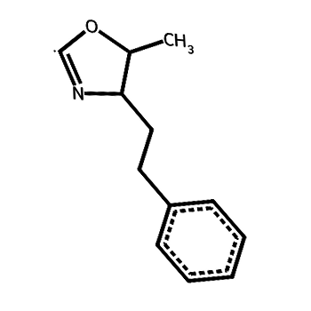 CC1O[C]=NC1CCc1ccccc1